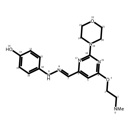 CNCCOc1cc(/C=N/Nc2ccc(O)cc2)nc(N2CCOCC2)n1